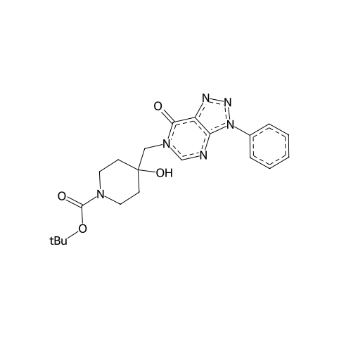 CC(C)(C)OC(=O)N1CCC(O)(Cn2cnc3c(nnn3-c3ccccc3)c2=O)CC1